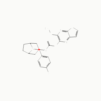 CSc1nc2sccc2nc1OC(=O)NC1CC2CCC(C1)N2Cc1ccc(F)cc1